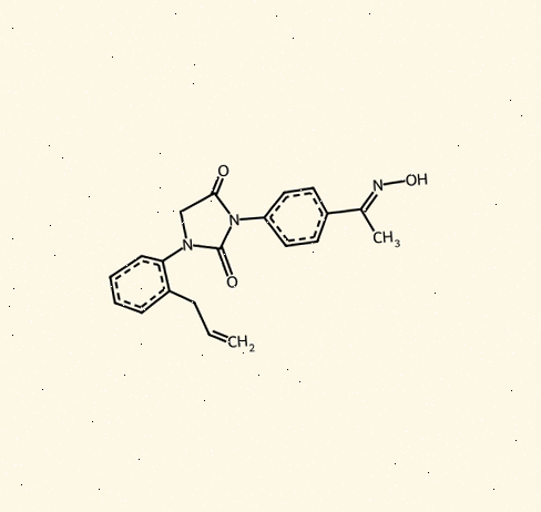 C=CCc1ccccc1N1CC(=O)N(c2ccc(C(C)=NO)cc2)C1=O